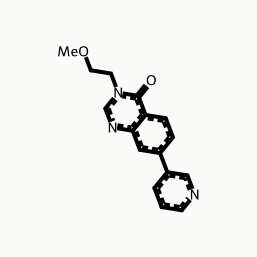 COCCn1cnc2cc(-c3cccnc3)ccc2c1=O